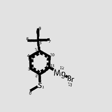 CSc1ccc(C(C)(C)C)c[c]1[Mg][Br]